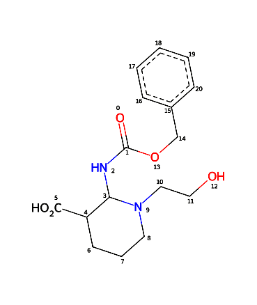 O=C(NC1C(C(=O)O)CCCN1CCO)OCc1ccccc1